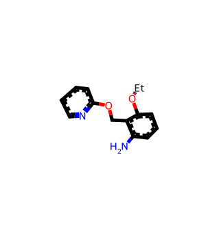 CCOc1cccc(N)c1COc1ccccn1